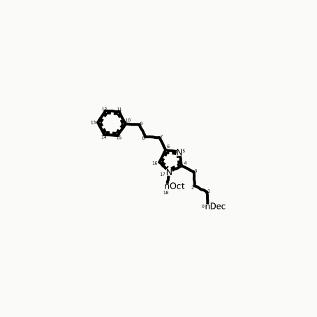 CCCCCCCCCCCCCc1nc(CCCc2ccccc2)cn1CCCCCCCC